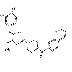 O=C(c1ccc2ccccc2c1)N1CCC(N2CC[C@H](Cc3ccc(Cl)c(Cl)c3)[C@H](CO)C2)CC1